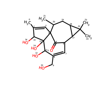 CC1=CC23C(=O)C(C=C(CO)C(O)C2(O)C1O)C1C(CC3C)C1(C)C